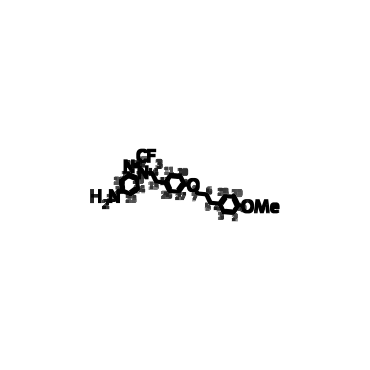 COc1ccc(CCCOc2ccc(CCn3c(C(F)(F)F)nc4cc(N)ccc43)cc2)cc1